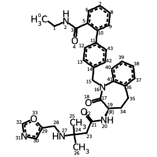 CCNC(=O)c1ccccc1-c1ccc(CN2C(=O)[C@H](NC(=O)CC(C)(C)NCc3cnco3)CCc3ccccc32)cc1